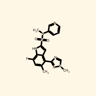 Cc1cc(F)c2[nH]c(S(=O)(=O)N(C)c3cccnc3)cc2c1-c1ncn(C)n1